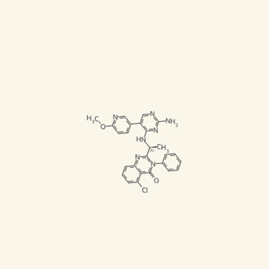 COc1ccc(-c2cnc(N)nc2N[C@@H](C)c2nc3cccc(Cl)c3c(=O)n2-c2ccccc2)cn1